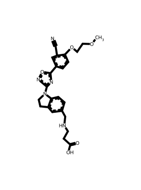 COCCOc1ccc(-c2nc(N3CCc4cc(CNCCC(=O)O)ccc43)no2)cc1C#N